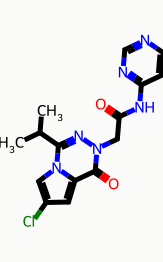 CC(C)c1nn(CC(=O)Nc2ccncn2)c(=O)c2cc(Cl)cn12